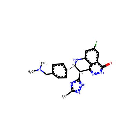 Cc1n[nH]c([C@@H]2c3n[nH]c(=O)c4cc(F)cc(c34)N[C@H]2c2ccc(CN(C)C)cc2)n1